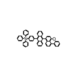 c1ccc([Si](c2ccccc2)(c2ccccc2)c2ccc(-c3c4ccccc4c(-c4ccc5c6c(cccc46)-c4ccccc4O5)c4ccccc34)cc2)cc1